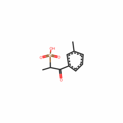 Cc1cccc(C(=O)C(C)S(=O)(=O)O)c1